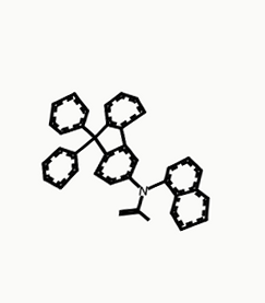 C=C(C)N(c1ccc2c(c1)-c1ccccc1C2(c1ccccc1)c1ccccc1)c1cccc2ccccc12